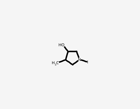 CC1CN(I)CC1O